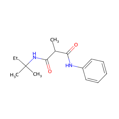 CCC(C)(C)NC(=O)C(C)C(=O)Nc1ccccc1